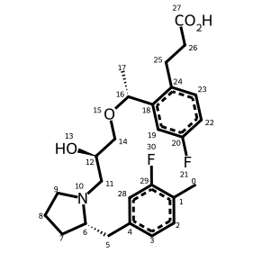 Cc1ccc(C[C@@H]2CCCN2C[C@@H](O)CO[C@H](C)c2cc(F)ccc2CCC(=O)O)cc1F